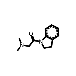 CN(C)CC(=O)N1CCc2ccccc21